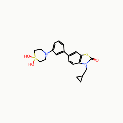 O=c1sc2cc(-c3cccc(N4CCS(O)(O)CC4)c3)ccc2n1CC1CC1